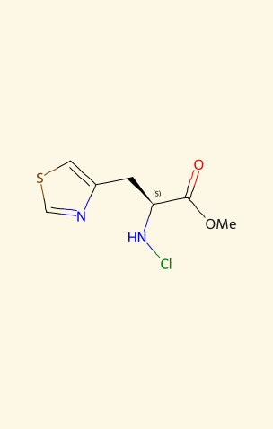 COC(=O)[C@H](Cc1cscn1)NCl